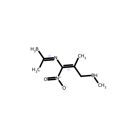 B/C(C)=N/C(=C(\C)CBC)[N+](=O)[O-]